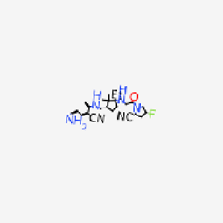 C=C(NC[C@H]1CC[C@@](CC)(NCC(=O)N2C[C@@H](F)C[C@H]2C#N)C1(C)C)/C(C#N)=C\C=C/N